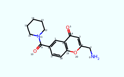 NCc1cc(=O)c2cc(C(=O)N3CCCCC3)ccc2o1